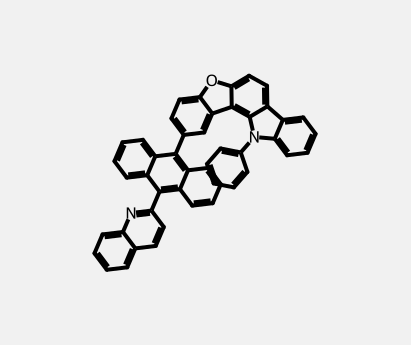 c1ccc(-n2c3ccccc3c3ccc4oc5ccc(-c6c7ccccc7c(-c7ccc8ccccc8n7)c7ccccc67)cc5c4c32)cc1